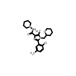 Cc1c(C(=O)NN2CCCCC2)nc(-c2cc(C(F)(F)F)ccc2Cl)n1CC1CCCCO1